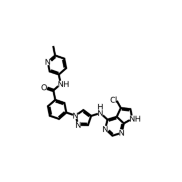 Cc1ccc(NC(=O)c2cccc(-n3cc(Nc4ncnc5[nH]cc(Cl)c45)cn3)c2)cn1